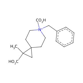 CC1(C(=O)O)CC12CC[N+](Cc1ccccc1)(C(=O)O)CC2